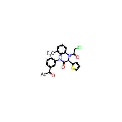 CC(=O)C(=O)c1cccc(NC(=O)C(c2cccs2)N(C(=O)CCl)c2cccc(C(F)(F)F)c2)c1